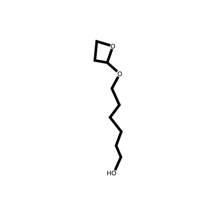 OCCCCCCOC1CCO1